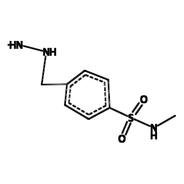 CNS(=O)(=O)c1ccc(CN[NH])cc1